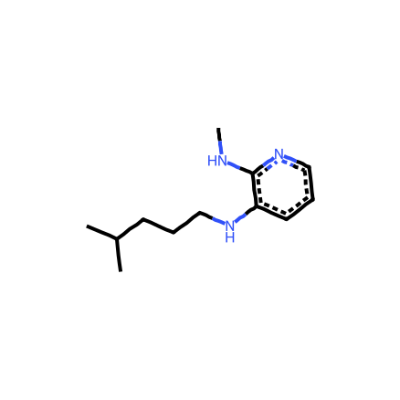 CNc1ncccc1NCCCC(C)C